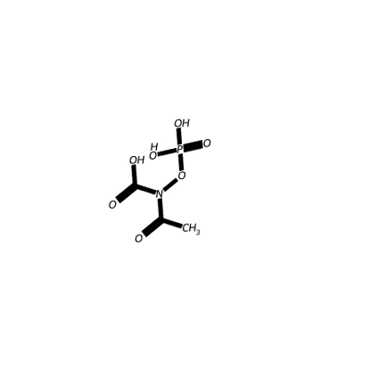 CC(=O)N(OP(=O)(O)O)C(=O)O